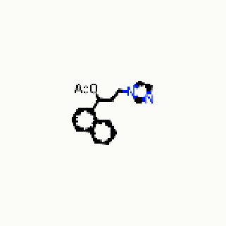 CC(=O)OC(CCn1ccnc1)c1cccc2ccccc12